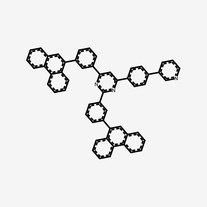 c1cncc(-c2ccc(-c3cc(-c4cccc(-c5cc6ccccc6c6ccccc56)c4)nc(-c4cccc(-c5cc6ccccc6c6ccccc56)c4)n3)cc2)c1